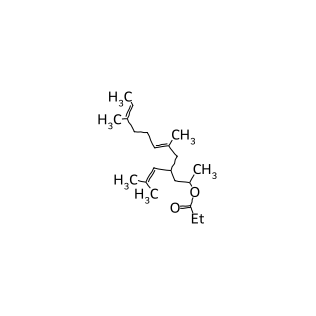 CC=C(C)CCC=C(C)CC(C=C(C)C)CC(C)OC(=O)CC